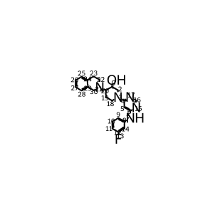 O[C@H]1CN(c2cc(Nc3cccc(F)c3)ncn2)CCC1N1CCc2ccccc2C1